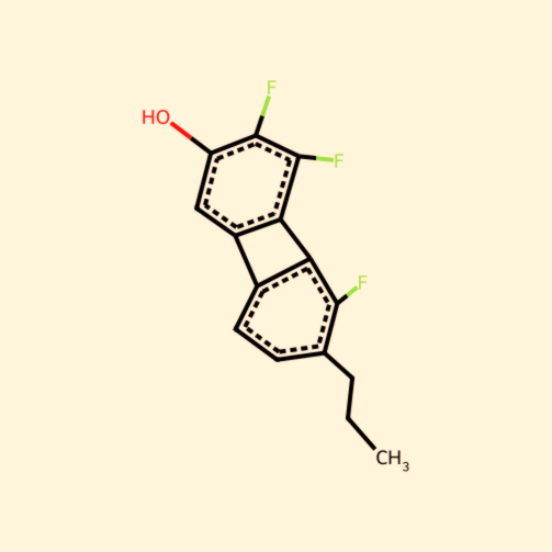 CCCc1ccc2c(c1F)-c1c-2cc(O)c(F)c1F